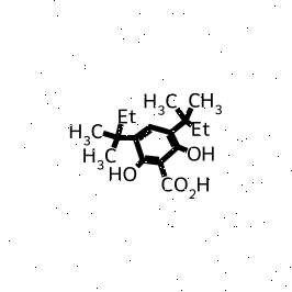 CCC(C)(C)c1cc(C(C)(C)CC)c(O)c(C(=O)O)c1O